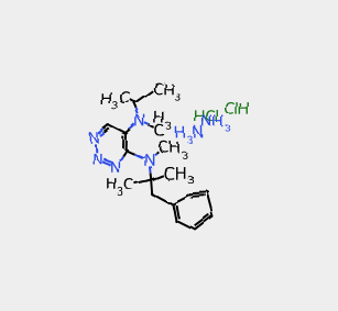 CC(C)N(C)c1cnnnc1N(C)C(C)(C)Cc1ccccc1.Cl.Cl.N.N